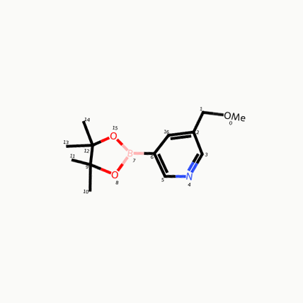 COCc1cncc(B2OC(C)(C)C(C)(C)O2)c1